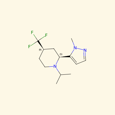 CC(C)N1CC[C@@H](C(F)(F)F)C[C@H]1c1ccnn1C